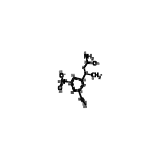 [CH2]C(CC(N)=O)c1cc(C#N)cc([N+](=O)[O-])c1